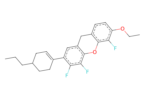 CCCC1CC=C(c2cc3c(c(F)c2F)Oc2c(ccc(OCC)c2F)C3)CC1